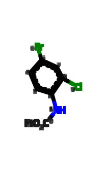 CCOC(=O)Nc1ccc(Br)cc1Cl